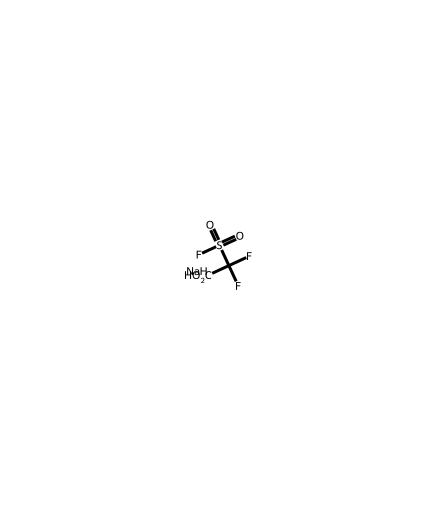 O=C(O)C(F)(F)S(=O)(=O)F.[NaH]